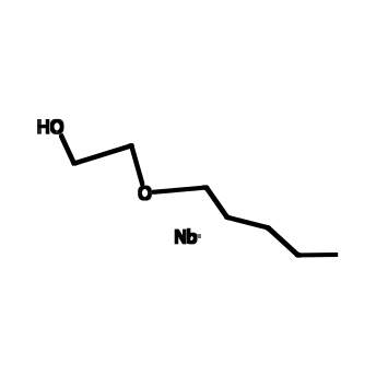 CCCCCOCCO.[Nb]